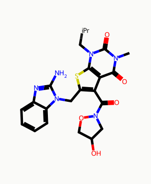 CC(C)Cn1c(=O)n(C)c(=O)c2c(C(=O)N3CC(O)CO3)c(Cn3c(N)nc4ccccc43)sc21